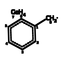 [CH2]c1ccccc1.[GeH4]